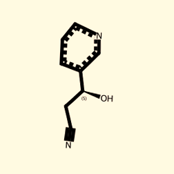 N#CC[C@H](O)c1cccnc1